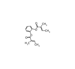 CC=C(C)C(=O)Oc1ccccc1OC(=O)C(C)=CC